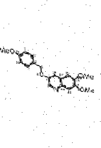 COc1ccc(COc2cnc3cc(OC)c(OC)cc3c2)cc1